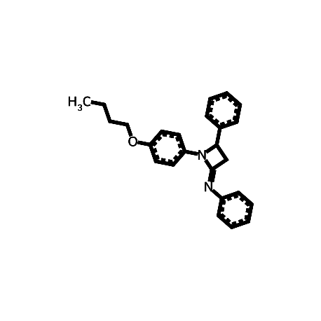 CCCCOc1ccc(N2/C(=N/c3ccccc3)CC2c2ccccc2)cc1